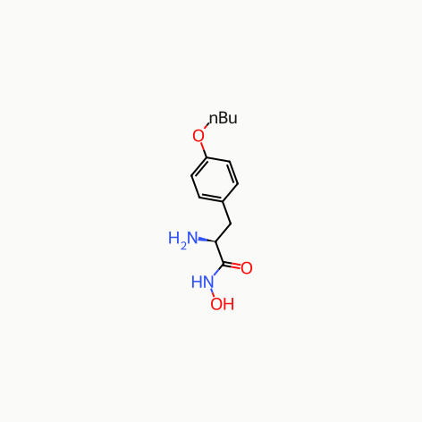 CCCCOc1ccc(C[C@H](N)C(=O)NO)cc1